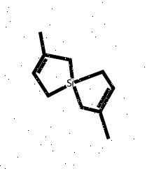 CC1=CC[Si]2(CC=C(C)C2)C1